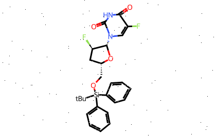 CC(C)(C)[Si](OC[C@@H]1C[C@@H](F)[C@H](n2cc(F)c(=O)[nH]c2=O)O1)(c1ccccc1)c1ccccc1